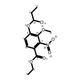 CCOC(=O)c1ccc(OC(Cl)CC)c(OC)c1[N+](=O)[O-]